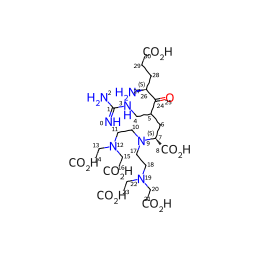 N=C(N)NCC(C[C@@H](C(=O)O)N(CCN(CC(=O)O)CC(=O)O)CCN(CC(=O)O)CC(=O)O)C(=O)[C@@H](N)CCC(=O)O